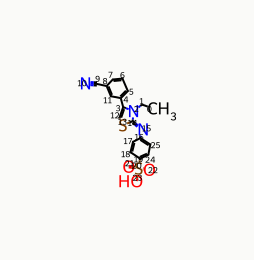 CCn1c(-c2cccc(C#N)c2)cs/c1=N\c1ccc(S(=O)(=O)O)cc1